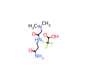 CN(C)CC(=O)NCCC(N)=O.O=C(O)C(F)(F)F